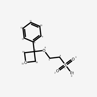 CCS(=O)(=O)CCOC1(c2cc[c]cc2)COC1